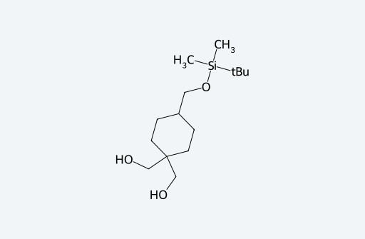 CC(C)(C)[Si](C)(C)OCC1CCC(CO)(CO)CC1